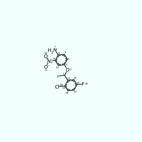 CC(Oc1ccc(N)c([N+](=O)[O-])c1)c1cc(F)ccc1Cl